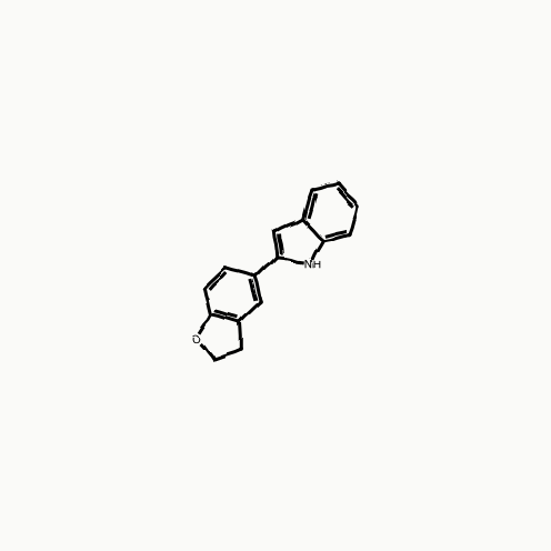 c1ccc2[nH]c(-c3ccc4c(c3)CCO4)cc2c1